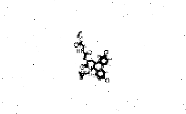 CCOC(=O)CNC(=O)C[C@H]1CC(c2cccc(Cl)c2)C(c2ccc(Cl)cc2)N(CC2CC2)C1=O